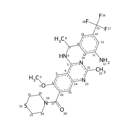 COc1cc2c(NC(C)c3cc(N)cc(C(F)(F)F)c3)nc(C)nc2cc1C(=O)N1CCSCC1